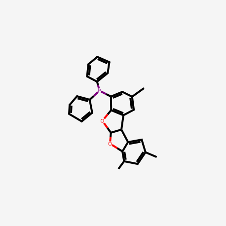 Cc1cc(C)c2c(c1)C1c3cc(C)cc(P(c4ccccc4)c4ccccc4)c3OC1O2